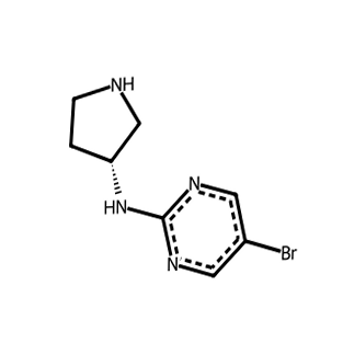 Brc1cnc(N[C@@H]2CCNC2)nc1